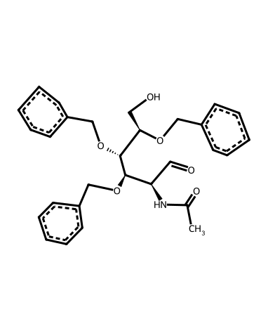 CC(=O)N[C@H](C=O)[C@@H](OCc1ccccc1)[C@H](OCc1ccccc1)[C@@H](CO)OCc1ccccc1